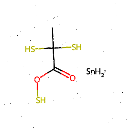 CC(S)(S)C(=O)OS.[SnH2]